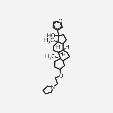 C[C@]12CCC(OCCN3CCCC3)CC1CC[C@@H]1[C@H]2CC[C@@]2(C)[C@H]1CCC2(O)c1ccoc1